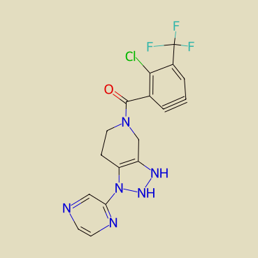 O=C(c1c#ccc(C(F)(F)F)c1Cl)N1CCC2=C(C1)NNN2c1cnccn1